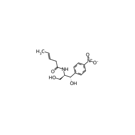 C/C=C/CC(=O)N[C@H](CO)[C@@H](O)c1ccc([N+](=O)[O-])cc1